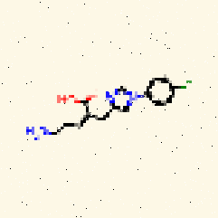 NCC/C=C(/Cc1cn(-c2ccc(F)cc2)cn1)C(=O)O